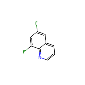 Fc1cc(F)c2nc[c]cc2c1